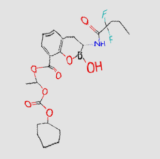 CCC(F)(F)C(=O)N[C@H]1Cc2cccc(C(=O)OC(C)OC(=O)OC3CCCCC3)c2OB1O